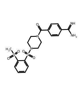 CS(=O)(=O)c1ccccc1S(=O)(=O)N1CCN(C(=O)c2ccc(C(=N)N)cc2)CC1